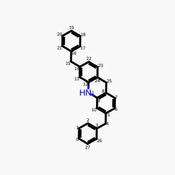 c1ccc(Cc2ccc3c(c2)Nc2cc(Cc4ccccc4)ccc2C3)cc1